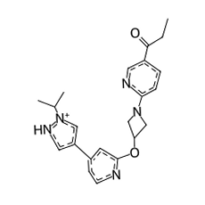 CCC(=O)c1ccc(N2CC(Oc3cc(-c4c[nH][n+](C(C)C)c4)ccn3)C2)nc1